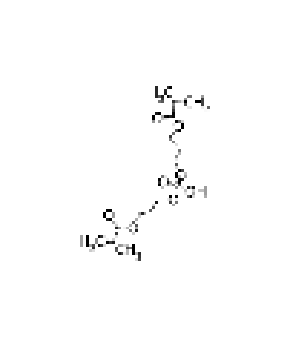 C=C(C)C(=O)OCCCOP(=O)(O)OCCCOC(=O)C(=C)C